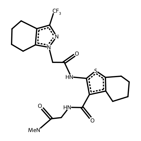 CNC(=O)CNC(=O)c1c(NC(=O)Cn2nc(C(F)(F)F)c3c2CCCC3)sc2c1CCCC2